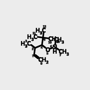 C=CC(C)C(O[SiH](C)C)C(C)(C)C